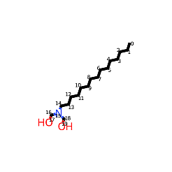 CCCCCCCCCCCCCCCN(CO)CO